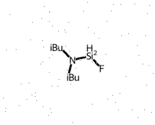 CCC(C)N([SiH2]F)C(C)CC